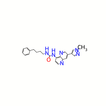 Cn1cc(-c2cnc3c(NC(=O)NCCCCc4ccccc4)ccnc3c2)cn1